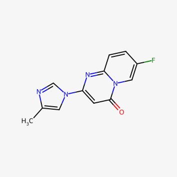 Cc1cn(-c2cc(=O)n3cc(F)ccc3n2)cn1